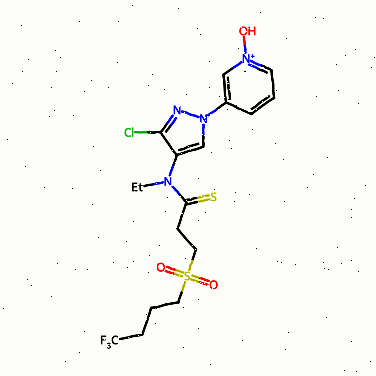 CCN(C(=S)CCS(=O)(=O)CCCC(F)(F)F)c1cn(-c2ccc[n+](O)c2)nc1Cl